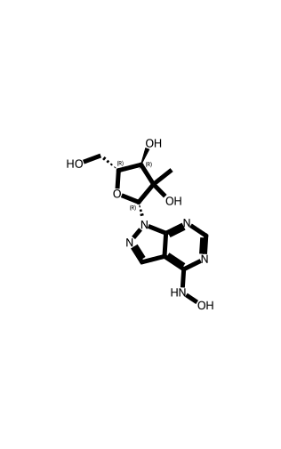 CC1(O)[C@H](O)[C@@H](CO)O[C@H]1n1ncc2c(NO)ncnc21